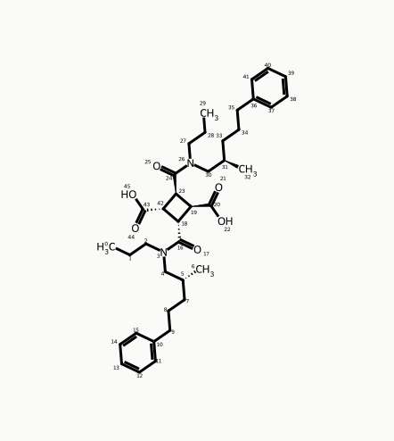 CCCN(C[C@H](C)CCCc1ccccc1)C(=O)[C@H]1[C@H](C(=O)O)[C@H](C(=O)N(CCC)C[C@H](C)CCCc2ccccc2)[C@H]1C(=O)O